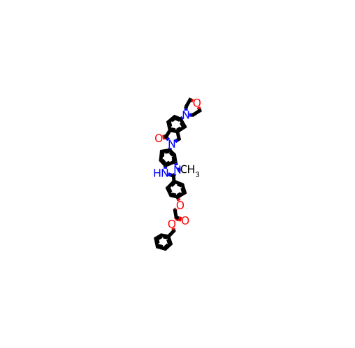 CN1c2cc(N3Cc4cc(N5CCOCC5)ccc4C3=O)ccc2NC1c1ccc(OCC(=O)OCc2ccccc2)cc1